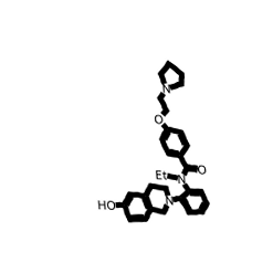 CCN(C(=O)c1ccc(OCCN2CCCC2)cc1)c1ccccc1N1CCc2cc(O)ccc2C1